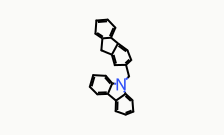 c1ccc2c(c1)Cc1cc(Cn3c4ccccc4c4ccccc43)ccc1-2